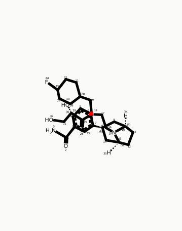 NC(=O)c1cccc([C@H]2C[C@H]3CC[C@@H](C2)N3CCN(CC2CCC(F)CC2)C(=O)[C@@H](O)CO)c1